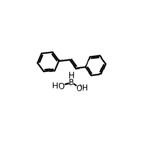 C(=C\c1ccccc1)/c1ccccc1.OBO